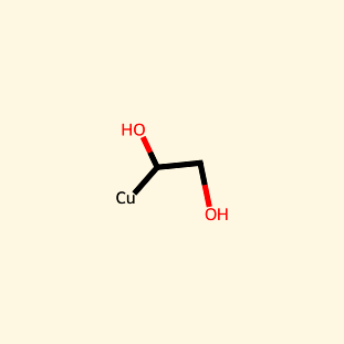 OC[CH](O)[Cu]